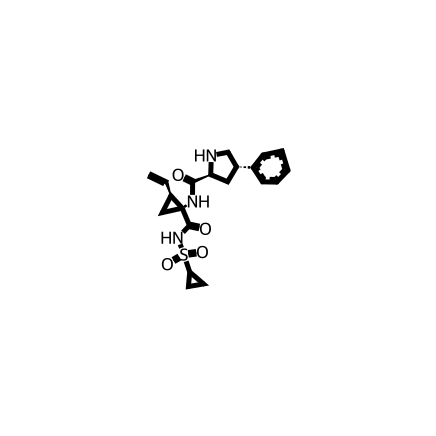 C=C[C@@H]1C[C@]1(NC(=O)[C@@H]1C[C@@H](c2ccccc2)CN1)C(=O)NS(=O)(=O)C1CC1